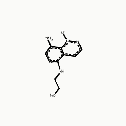 Nc1ccc(NCCO)c2ccn[n+]([O-])c12